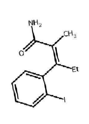 CCC(=C(C)C(N)=O)c1ccccc1I